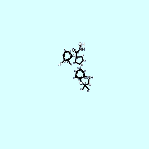 Cc1c(F)cccc1[C@]1(C(=O)NO)CC[C@H](c2ccc3c(c2)NCC(C)(C)O3)C1